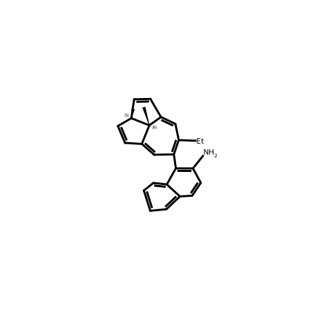 CCC1=C(c2c(N)ccc3ccccc23)C=C2C=C[C@]3(C)C=CC(=C1)[C@]23C